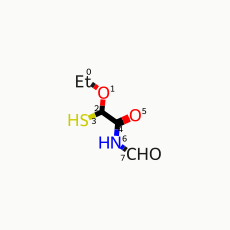 CCOC(S)C(=O)NC=O